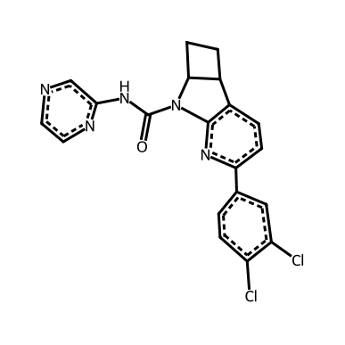 O=C(Nc1cnccn1)N1c2nc(-c3ccc(Cl)c(Cl)c3)ccc2C2CCC21